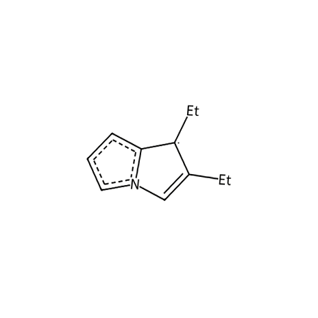 CC[C]1C(CC)=Cn2cccc21